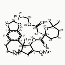 COC1=CC23CCCN2CCc2cc4c(cc2[C@@H]3C1OC(=O)[C@]1(CC(=O)OCC(F)(F)F)CCCC(C)(C)O1)OCO4